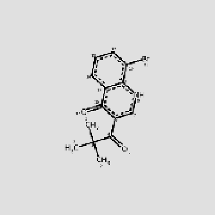 CC(C)(C)C(=O)c1c[nH]c2c(Br)cccc2c1=O